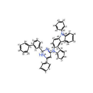 C1=C(c2ccccc2)NC(c2cccc(-c3ccccc3)c2)N=C1n1c2ccccc2c2c3c4ccccc4n(-c4ccccc4)c3ccc21